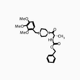 COc1ccc(CN2CCN(C(=O)[C@H](C)NC(=O)OCc3ccccc3)CC2)c(OC)c1OC